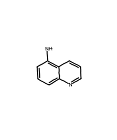 [NH]c1cccc2ncccc12